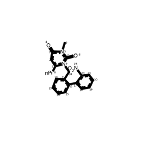 CCCc1cc(=O)n(C)c(=O)n1Cc1ccccc1-c1ccccc1[N+](=O)[O-]